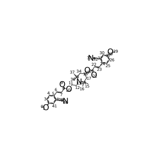 COc1ccc(/C=C/C(=O)OCCN2C(C)(C)CC(OC(=O)/C=C/c3ccc(OC)cc3C#N)CC2(C)C)c(C#N)c1